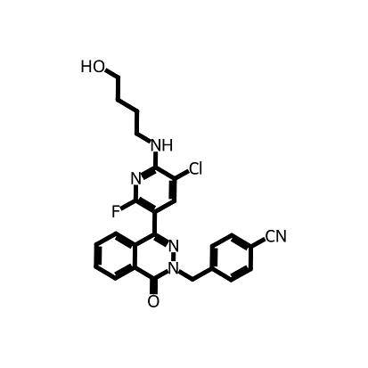 N#Cc1ccc(Cn2nc(-c3cc(Cl)c(NCCCCO)nc3F)c3ccccc3c2=O)cc1